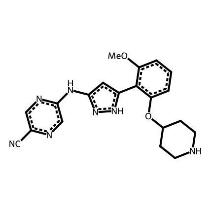 COc1cccc(OC2CCNCC2)c1-c1cc(Nc2cnc(C#N)cn2)n[nH]1